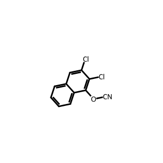 N#COc1c(Cl)c(Cl)cc2ccccc12